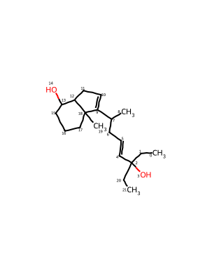 CCC(O)(C=CCC(C)C1=CCC2C(O)CCCC12C)CC